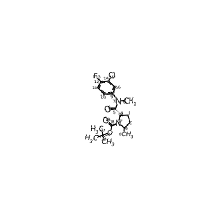 C[C@@H]1CC[C@@H](C(=O)N(C)c2ccc(F)c(Cl)c2)N1C(=O)OC(C)(C)C